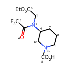 CCOC(=O)CN(C(=O)C(F)(F)F)[C@H]1CCCN(C(=O)O)C1